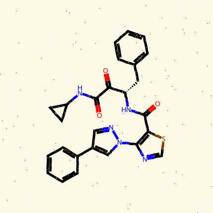 O=C(NC1CC1)C(=O)[C@H](Cc1ccccc1)NC(=O)c1scnc1-n1cc(-c2ccccc2)cn1